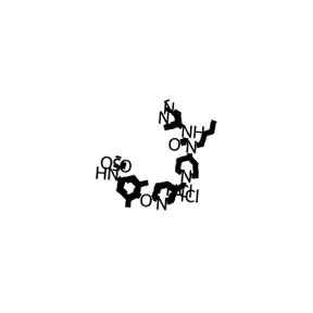 CCCCN(C(=O)Nc1cnn(C)c1)C1CCN(Cc2ccc(Oc3c(C)cc(NS(C)(=O)=O)cc3C)nc2)CC1.Cl.Cl